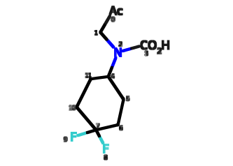 CC(=O)CN(C(=O)O)C1CCC(F)(F)CC1